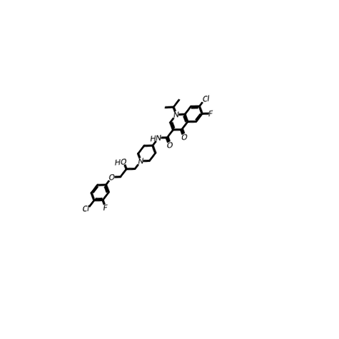 CC(C)n1cc(C(=O)NC2CCN(CC(O)COc3ccc(Cl)c(F)c3)CC2)c(=O)c2cc(F)c(Cl)cc21